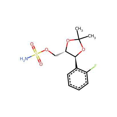 CC1(C)O[C@@H](COS(N)(=O)=O)[C@H](c2ccccc2F)O1